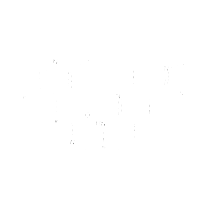 CCN(C[C@H]1CCc2cc(-c3nccs3)c(C)nc2N1)C(=O)[C@H](C)c1cc(OC)ncc1F